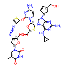 C1=CSC1.Cc1cn([C@H]2C[C@H](N=[N+]=[N-])[C@@H](CO)O2)c(=O)[nH]c1=O.Nc1ccn([C@H]2CS[C@@H](CO)O2)c(=O)n1.Nc1nc(NC2CC2)c2ncn([C@H]3C=C[C@@H](CO)C3)c2n1